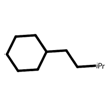 CC(C)CCC1CC[CH]CC1